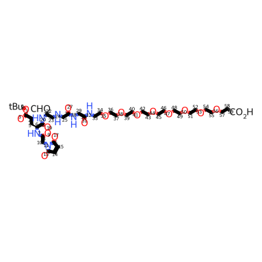 CC(C)(C)OC(=O)CC[C@H](NC(=O)CN1C(=O)C=CC1=O)C(=O)NC(C=O)CNCC(=O)NCC(=O)NCCOCCOCCOCCOCCOCCOCCOCCOCCC(=O)O